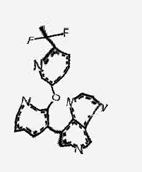 CC(F)(F)c1ccc(Oc2ncccc2-c2cncc3nccnc23)cn1